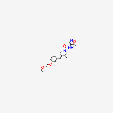 Cc1oncc1NC(=O)N1CCC(=Cc2cccc(OCCOC(C)C)c2)C(C)C1